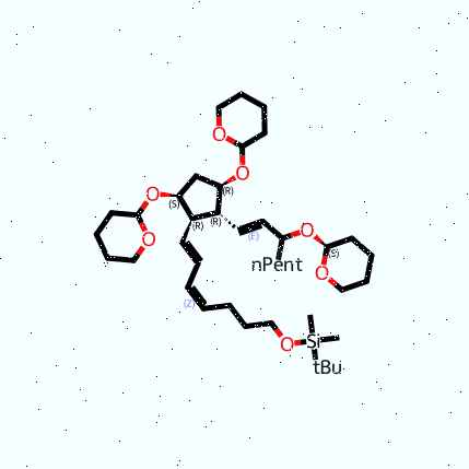 CCCCCC(/C=C/[C@@H]1[C@@H](C=C/C=C\CCCO[Si](C)(C)C(C)(C)C)[C@@H](OC2CCCCO2)C[C@H]1OC1CCCCO1)O[C@H]1CCCCO1